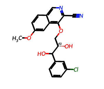 COc1ccc2cnc(C#N)c(OC[C@H](O)C(O)c3cccc(Cl)c3)c2c1